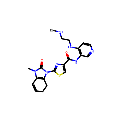 CCNCCNc1ccncc1NC(=O)c1csc(-n2c3c(n(C)c2=O)C=CCC3)n1